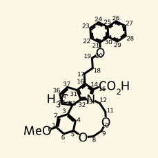 COC1=CC2=CC(C1)OCCOCCn1c(C(=O)O)c(CCCOc3cccc4ccccc34)c3c1C2(C)CC=C3